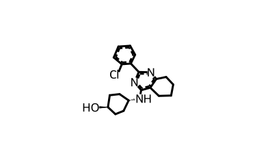 O[C@H]1CC[C@H](Nc2nc(-c3ccccc3Cl)nc3c2CCCC3)CC1